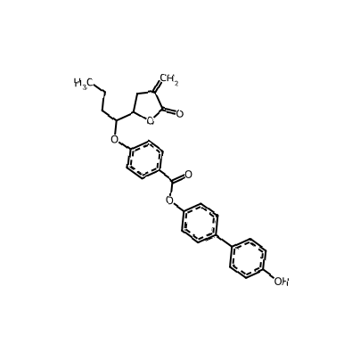 C=C1CC(C(CCC)Oc2ccc(C(=O)Oc3ccc(-c4ccc(O)cc4)cc3)cc2)OC1=O